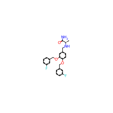 C[C@@H](NCc1ccc(OCc2cccc(F)c2)c(OCc2cccc(F)c2)c1)C(N)=O